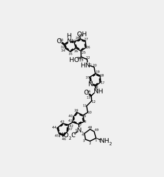 N[C@H]1CC[C@H](N(C(=O)O)c2cc(CCCC(=O)Nc3ccc(CNC[C@H](O)c4ccc(O)c5[nH]c(=O)ccc45)cn3)ccc2-c2ccccc2)CC1